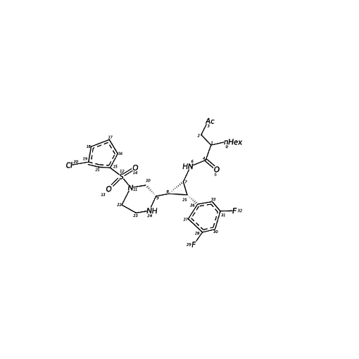 CCCCCCC(CC(C)=O)C(=O)NC1[C@@H]([C@H]2CN(S(=O)(=O)c3cccc(Cl)c3)CCN2)[C@H]1c1cc(F)cc(F)c1